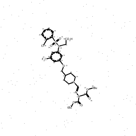 CC(C)(C)OC(=O)N(N=CN1CCC(COc2cc(N(CC(=O)O)S(=O)(=O)c3ccccc3Cl)cc(C(F)(F)F)c2)CC1)C(=O)OC(C)(C)C